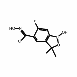 CC1(C)OB(O)c2cc(F)c(C(Cl)=NO)cc21